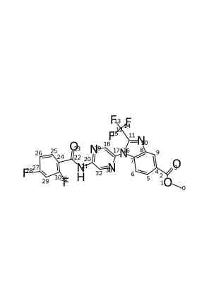 COC(=O)c1ccc2c(c1)nc(C(F)(F)F)n2-c1cnc(NC(=O)c2ccc(F)cc2F)cn1